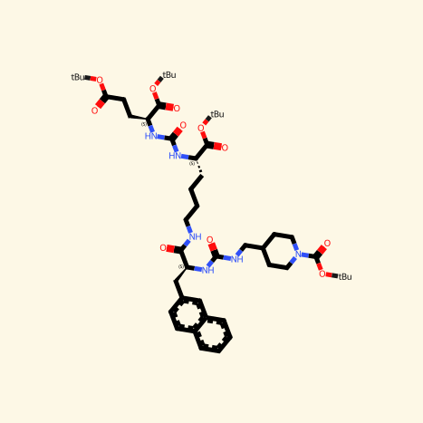 CC(C)(C)OC(=O)CC[C@H](NC(=O)N[C@@H](CCCCNC(=O)[C@H](Cc1ccc2ccccc2c1)NC(=O)NCC1CCN(C(=O)OC(C)(C)C)CC1)C(=O)OC(C)(C)C)C(=O)OC(C)(C)C